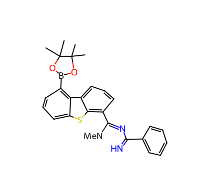 CN/C(=N\C(=N)c1ccccc1)c1cccc2c1sc1cccc(B3OC(C)(C)C(C)(C)O3)c12